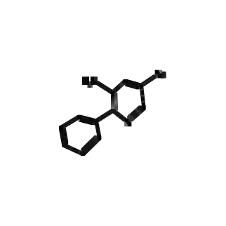 Nc1c[c]([Na])cnc1-c1ccccc1